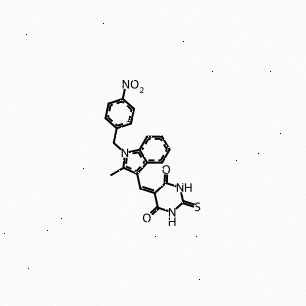 Cc1c(C=C2C(=O)NC(=S)NC2=O)c2ccccc2n1Cc1ccc([N+](=O)[O-])cc1